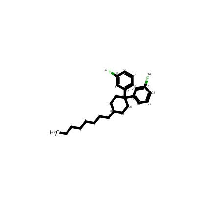 CCCCCCCCC1CCC(c2cccc(F)c2)(c2cccc(F)c2)CC1